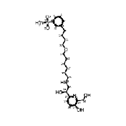 NS(=O)(=O)c1cccc(CCCCOCCCCCCNCC(O)c2ccc(O)c(CO)n2)c1